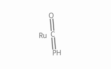 O=C=P.[Ru]